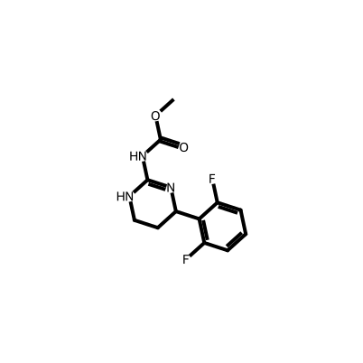 COC(=O)NC1=NC(c2c(F)cccc2F)CCN1